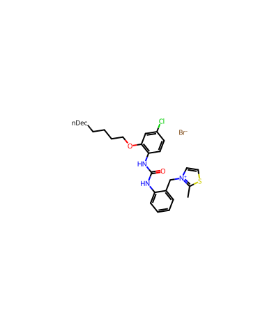 CCCCCCCCCCCCCCOc1cc(Cl)ccc1NC(=O)Nc1ccccc1C[n+]1ccsc1C.[Br-]